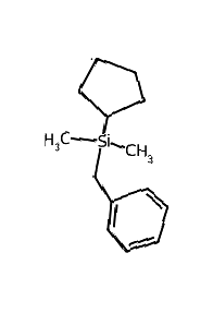 C[Si](C)(Cc1ccccc1)C1C[CH]CC1